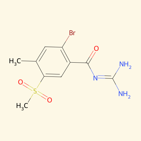 Cc1cc(Br)c(C(=O)N=C(N)N)cc1S(C)(=O)=O